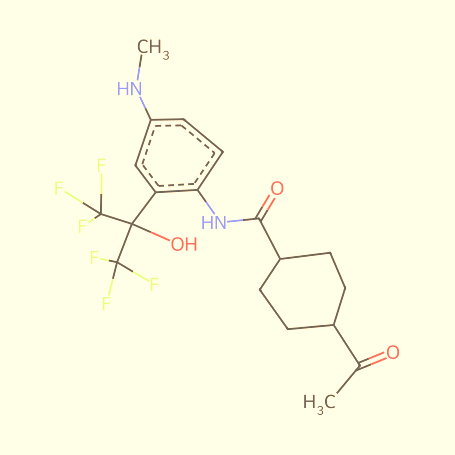 CNc1ccc(NC(=O)C2CCC(C(C)=O)CC2)c(C(O)(C(F)(F)F)C(F)(F)F)c1